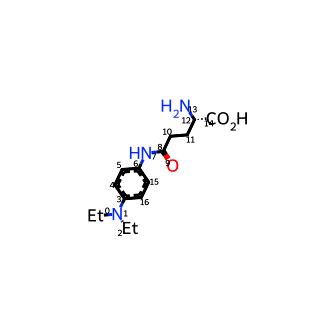 CCN(CC)c1ccc(NC(=O)CC[C@H](N)C(=O)O)cc1